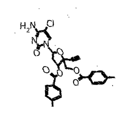 C#CC1(COC(=O)c2ccc(C)cc2)OC(n2cc(Cl)c(N)nc2=O)CC1OC(=O)c1ccc(C)cc1